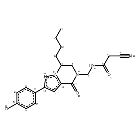 CCCCC1CN(CNC(=O)CC#N)C(=O)c2cc(-c3ccc(Cl)cc3)nn21